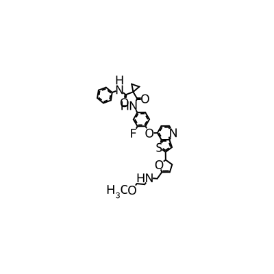 COCCNCC1=CCC(c2cc3nccc(Oc4ccc(NC(=O)C5(C(=O)Nc6ccccc6)CC5)cc4F)c3s2)O1